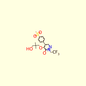 CC(C)(CO)COc1c(-c2ccc(S(C)(=O)=O)cc2)cnn(CC(F)(F)F)c1=O